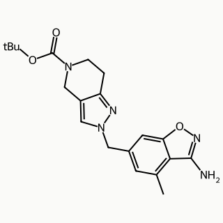 Cc1cc(Cn2cc3c(n2)CCN(C(=O)OC(C)(C)C)C3)cc2onc(N)c12